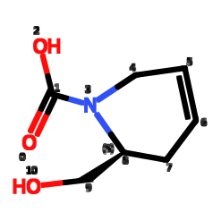 O=C(O)N1CC=CC[C@H]1CO